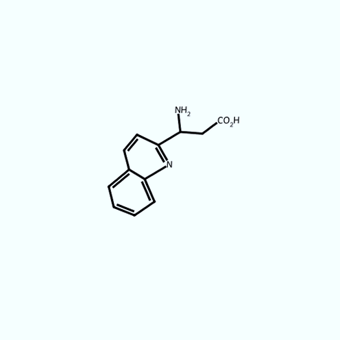 NC(CC(=O)O)c1ccc2ccccc2n1